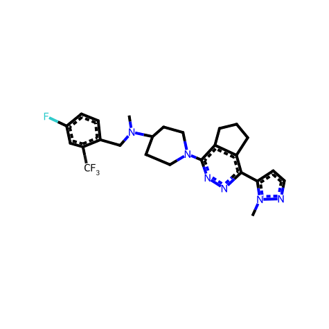 CN(Cc1ccc(F)cc1C(F)(F)F)C1CCN(c2nnc(-c3ccnn3C)c3c2CCC3)CC1